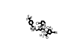 Cc1cc(C#N)cc(C(N)=O)c1NC(=O)c1cc(Cn2nnc(-c3ccc(C(F)(F)F)cc3)n2)nn1-c1ncccc1Cl